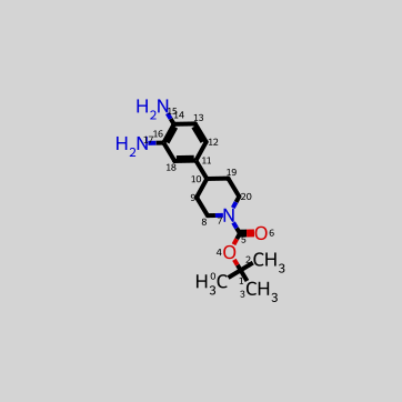 CC(C)(C)OC(=O)N1CCC(c2ccc(N)c(N)c2)CC1